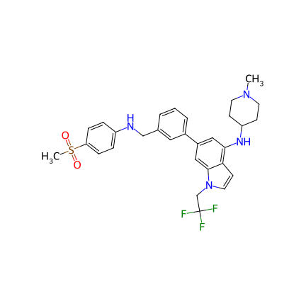 CN1CCC(Nc2cc(-c3cccc(CNc4ccc(S(C)(=O)=O)cc4)c3)cc3c2ccn3CC(F)(F)F)CC1